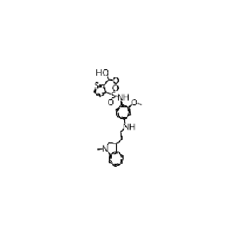 COc1cc(NCCC2CN(C)c3ccccc32)ccc1NS(=O)(=O)c1ccsc1C(=O)O